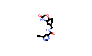 C#Cc1cc(C(=O)NCc2ccc3c(c2)NC(=O)CO3)ncn1